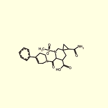 CS(=O)(=O)N1CC2(CC(C(=O)O)C1C(=O)N1CC=C(c3ccccc3)CC1)CC2C(N)=O